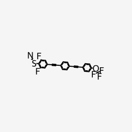 N#CSc1c(F)cc(C#Cc2ccc(C#Cc3ccc(OC(F)(F)F)cc3)cc2)cc1F